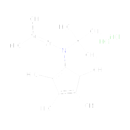 CC1=C(C)C(C)C([N]([Zr]=[Si](C)C)C(C)(C)C)=C1C.Cl.Cl